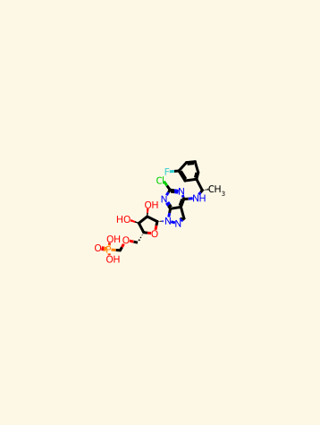 C[C@H](Nc1nc(Cl)nc2c1cnn2[C@@H]1O[C@H](COCP(=O)(O)O)[C@@H](O)[C@H]1O)c1cccc(F)c1